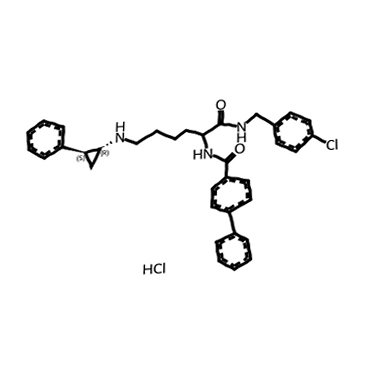 Cl.O=C(NC(CCCCN[C@@H]1C[C@H]1c1ccccc1)C(=O)NCc1ccc(Cl)cc1)c1ccc(-c2ccccc2)cc1